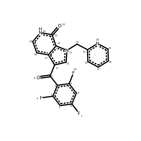 O=C(c1c(F)cc(F)cc1F)c1cn(Cc2ccccn2)c2c(=O)[nH]ccc12